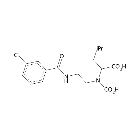 CC(C)CC(C(=O)O)N(CCNC(=O)c1cccc(Cl)c1)C(=O)O